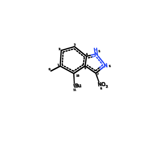 Cc1ccc2[nH]nc([N+](=O)[O-])c2c1C(C)(C)C